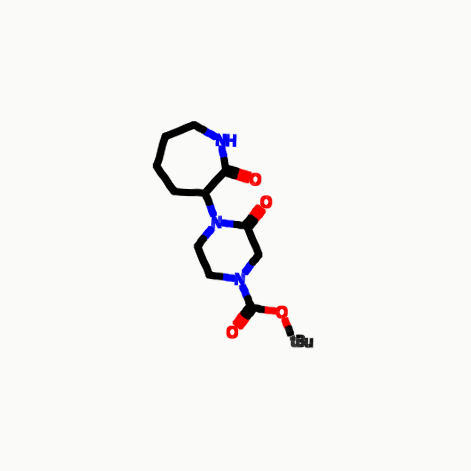 CC(C)(C)OC(=O)N1CCN(C2CCCCNC2=O)C(=O)C1